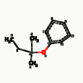 CCC(C)(C)Oc1[c]cccc1